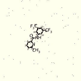 Cc1cccc(C(=O)Nc2cc(C(F)(F)F)cc(C(F)(F)F)c2)n1